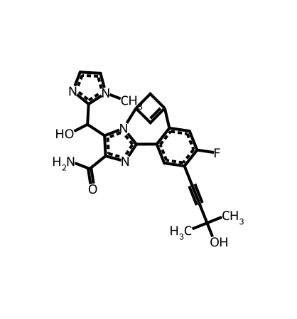 Cn1ccnc1C(O)c1c(C(N)=O)nc2n1C1C=C(C1)c1cc(F)c(C#CC(C)(C)O)cc1-2